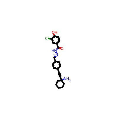 NC1(C#Cc2ccc(/C=N/NC(=O)c3ccc(O)c(Cl)c3)cc2)CCCCC1